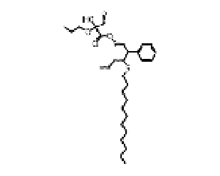 CCCCCCCCCCCCSC(CCC)C(CSOC(=O)C(O)(OCCC)P=O)c1ccccc1